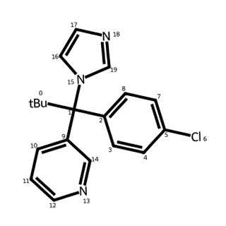 CC(C)(C)C(c1ccc(Cl)cc1)(c1cccnc1)n1ccnc1